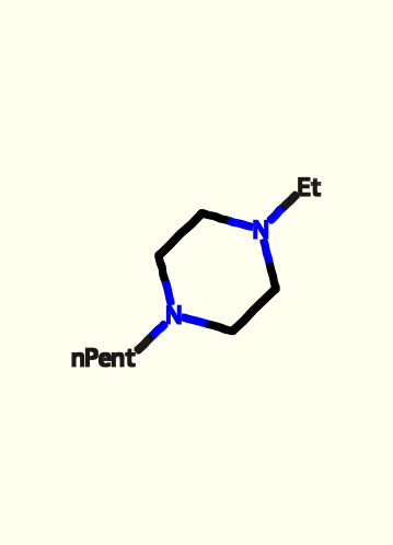 [CH2]CN1CCN(CCCCC)CC1